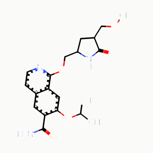 COCC1CC(COc2nccc3cc(C(N)=O)c(OC(C)C)cc23)NC1=O